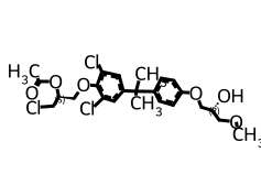 COC[C@@H](O)COc1ccc(C(C)(C)c2cc(Cl)c(OC[C@@H](CCl)OC(C)=O)c(Cl)c2)cc1